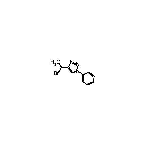 CC(Br)c1cn(-c2ccccc2)nn1